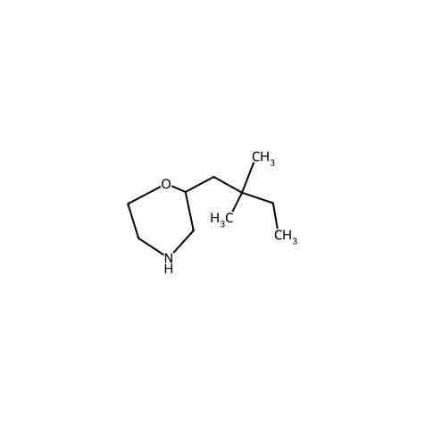 CCC(C)(C)CC1CNCCO1